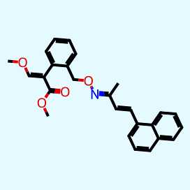 CO/C=C(/C(=O)OC)c1ccccc1CO/N=C(C)/C=C/c1cccc2ccccc12